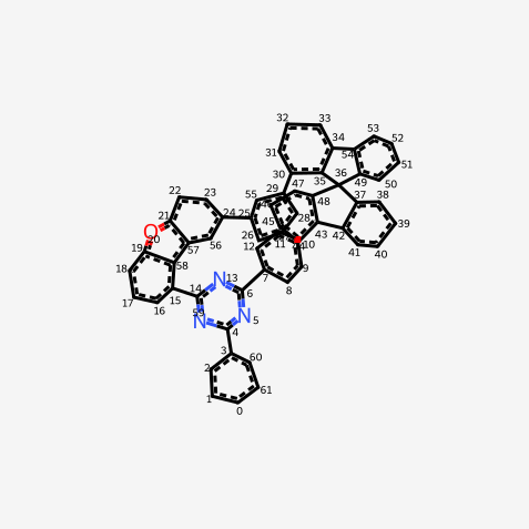 c1ccc(-c2nc(-c3ccccc3)nc(-c3cccc4oc5ccc(-c6cccc(-c7cccc8c7C7(c9ccccc9-c9ccccc97)c7ccccc7-8)c6)cc5c34)n2)cc1